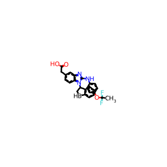 CC(F)(F)Oc1ccc(Nc2nc3cc(CC(=O)O)ccc3n2C2CBc3ccccc32)cc1